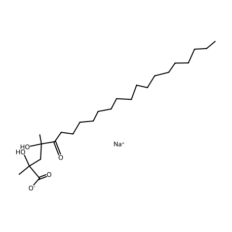 CCCCCCCCCCCCCCCCCC(=O)C(C)(O)CC(C)(O)C(=O)[O-].[Na+]